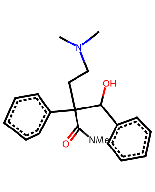 CNC(=O)C(CCN(C)C)(c1ccccc1)C(O)c1ccccc1